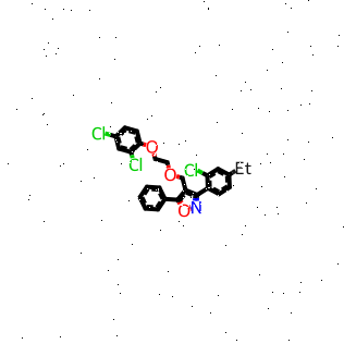 CCc1ccc(-c2noc(-c3ccccc3)c2COCCOc2ccc(Cl)cc2Cl)c(Cl)c1